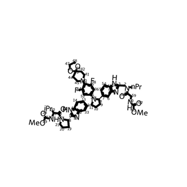 CCCN(Cc1nc2cc([C@H]3CC[C@H](c4ccc5[nH]c([C@@H]6CCCN6C(=O)C(NC(=O)OC)C(C)C)nc5c4)N3c3cc(F)c(N4CCC5(CC4)OCCO5)c(F)c3)ccc2[nH]1)C(=O)CNC(=O)OC